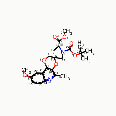 COC(=O)[C@@H]1C[C@]2(COc3c(c(C)nc4ccc(OC)cc34)O2)CN1C(=O)OC(C)(C)C